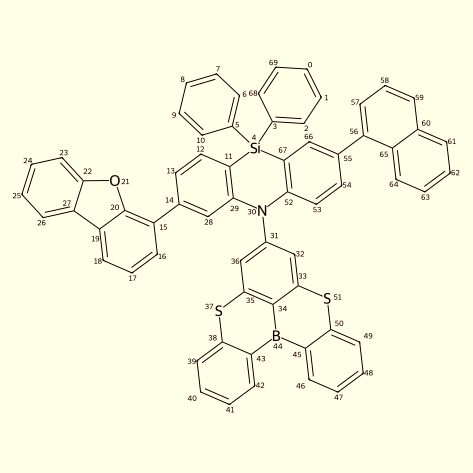 c1ccc([Si]2(c3ccccc3)c3ccc(-c4cccc5c4oc4ccccc45)cc3N(c3cc4c5c(c3)Sc3ccccc3B5c3ccccc3S4)c3ccc(-c4cccc5ccccc45)cc32)cc1